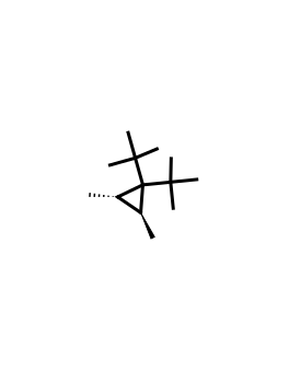 C[C@H]1[C@H](C)C1(C(C)(C)C)C(C)(C)C